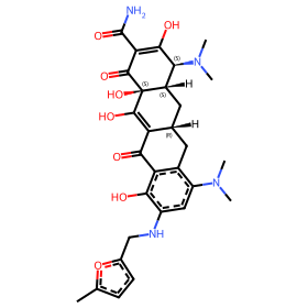 Cc1ccc(CNc2cc(N(C)C)c3c(c2O)C(=O)C2=C(O)[C@]4(O)C(=O)C(C(N)=O)=C(O)[C@@H](N(C)C)[C@@H]4C[C@@H]2C3)o1